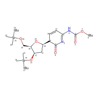 CC(C)(C)OC(=O)NC1=NC(=O)C([C@H]2C[C@@H](O[Si](C)(C)C(C)(C)C)[C@@H](CO[Si](C)(C)C(C)(C)C)O2)C=C1